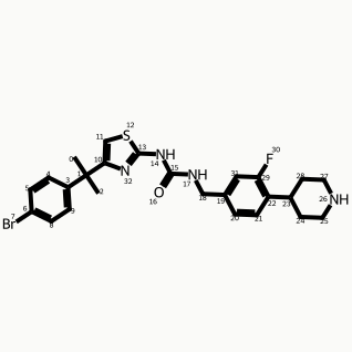 CC(C)(c1ccc(Br)cc1)c1csc(NC(=O)NCc2ccc(C3CCNCC3)c(F)c2)n1